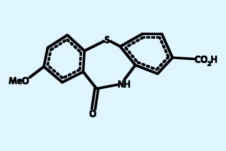 COc1ccc2c(c1)C(=O)Nc1cc(C(=O)O)ccc1S2